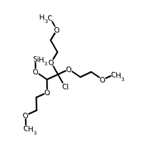 COCCOC(O[SiH3])C(Cl)(OCCOC)OCCOC